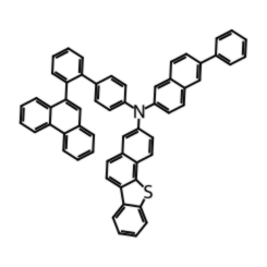 c1ccc(-c2ccc3cc(N(c4ccc(-c5ccccc5-c5cc6ccccc6c6ccccc56)cc4)c4ccc5c(ccc6c7ccccc7sc56)c4)ccc3c2)cc1